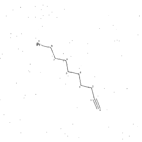 C#CCCCCCCC[C](C)C